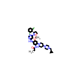 C=CC(=O)Nc1cc(Nc2cc(N3OCC[C@H]3c3c(F)cccc3F)ncn2)c(OC)cc1N1CCC(N2CCN(CC3CC3)CC2)CC1